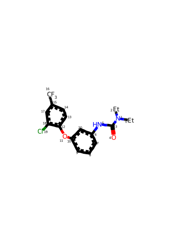 CCN(CC)C(=O)Nc1cccc(Oc2ccc(C(F)(F)F)cc2Cl)c1